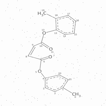 Cc1ccc(OC(=O)/C=C\C(=O)Oc2ccccc2C)cc1